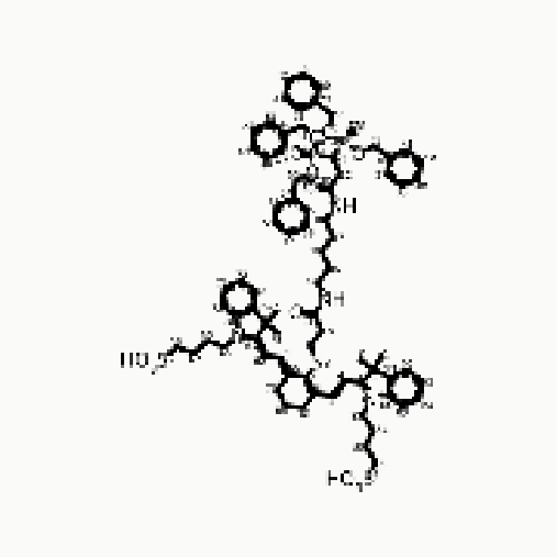 CC1(C)C(/C=C/C2=C(SCCC(=O)NCCCCCNC(=O)CC(P(=O)(OCc3ccccc3)OCc3ccccc3)P(=O)(OCc3ccccc3)OCc3ccccc3)C(=C/C=C3/N(CCCCS(=O)(=O)O)c4ccccc4C3(C)C)/CCC2)=[N+](CCCCS(=O)(=O)O)c2ccccc21